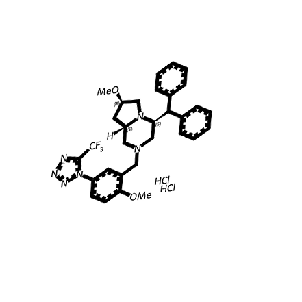 COc1ccc(-n2nnnc2C(F)(F)F)cc1CN1C[C@@H]2C[C@@H](OC)CN2[C@@H](C(c2ccccc2)c2ccccc2)C1.Cl.Cl